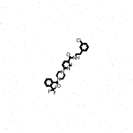 O=C(NCCc1cccc(Cl)c1)c1ccc(N2CCN(C(=O)c3ccccc3C(F)(F)F)CC2)nn1